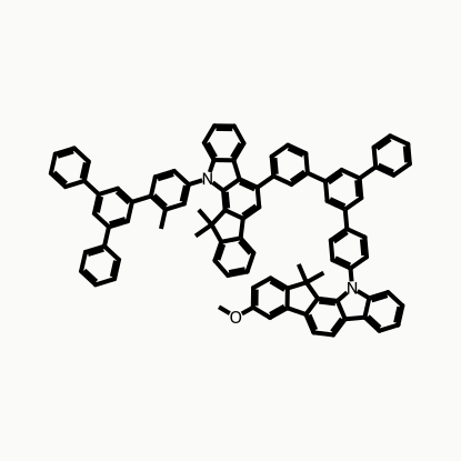 COc1ccc2c(c1)-c1ccc3c4ccccc4n(-c4ccc(-c5cc(-c6ccccc6)cc(-c6cccc(-c7cc8c(c9c7c7ccccc7n9-c7ccc(-c9cc(-c%10ccccc%10)cc(-c%10ccccc%10)c9)c(C)c7)C(C)(C)c7ccccc7-8)c6)c5)cc4)c3c1C2(C)C